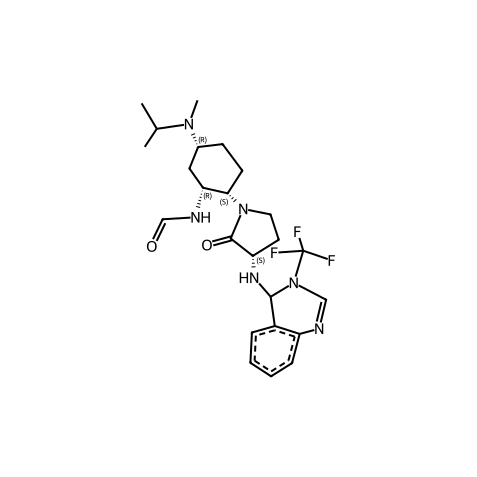 CC(C)N(C)[C@@H]1CC[C@H](N2CC[C@H](NC3c4ccccc4N=CN3C(F)(F)F)C2=O)[C@H](NC=O)C1